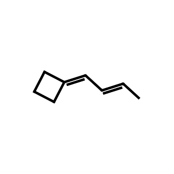 CC=CC=C1CCC1